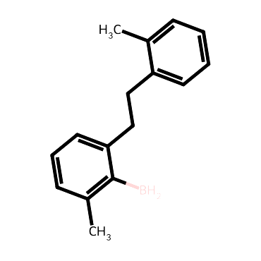 Bc1c(C)cccc1CCc1ccccc1C